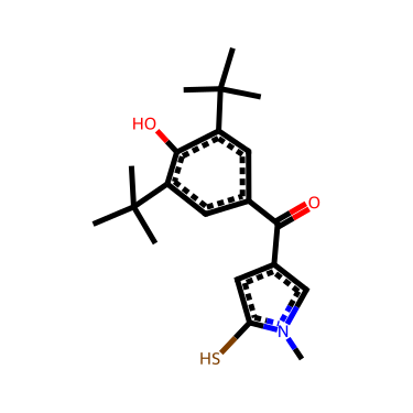 Cn1cc(C(=O)c2cc(C(C)(C)C)c(O)c(C(C)(C)C)c2)cc1S